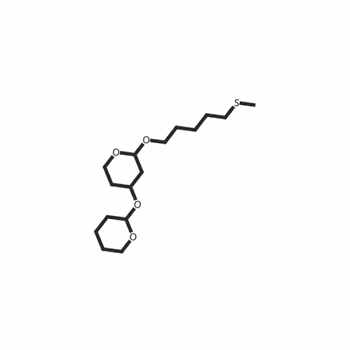 CSCCCCCOC1CC(OC2CCCCO2)CCO1